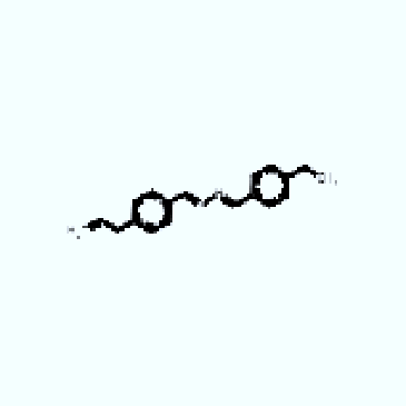 C=CCc1ccc(/C=N/N=C/c2ccc(CC)cc2)cc1